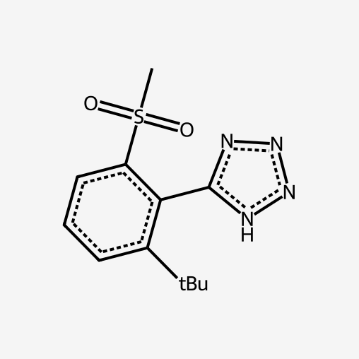 CC(C)(C)c1cccc(S(C)(=O)=O)c1-c1nnn[nH]1